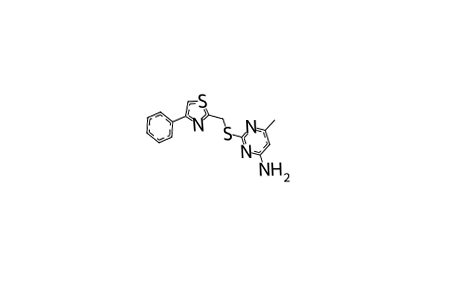 Cc1cc(N)nc(SCc2nc(-c3ccccc3)cs2)n1